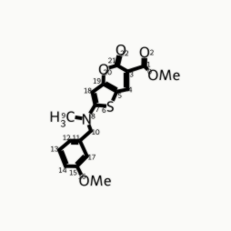 COC(=O)c1cc2sc(N(C)Cc3cccc(OC)c3)cc2oc1=O